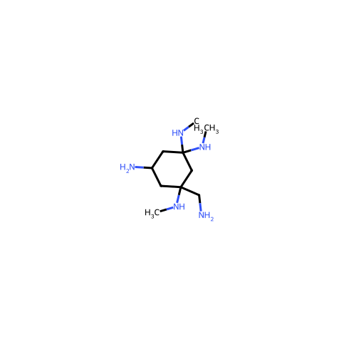 CNC1(CN)CC(N)CC(NC)(NC)C1